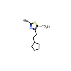 CCOC(=O)c1sc(C(C)(C)C)nc1CCC1CCCC1